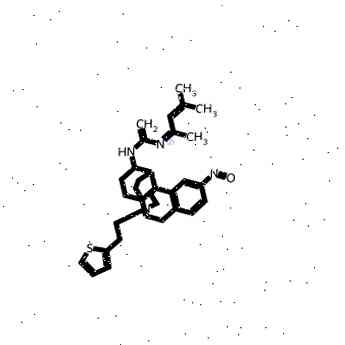 C=C(/N=C(/C)C=C(C)C)NC1CCC23CCC1C21CCN(CCc2cccs2)C3Cc2ccc(N=O)cc21